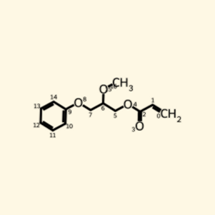 C=CC(=O)OCC(COc1ccccc1)OC